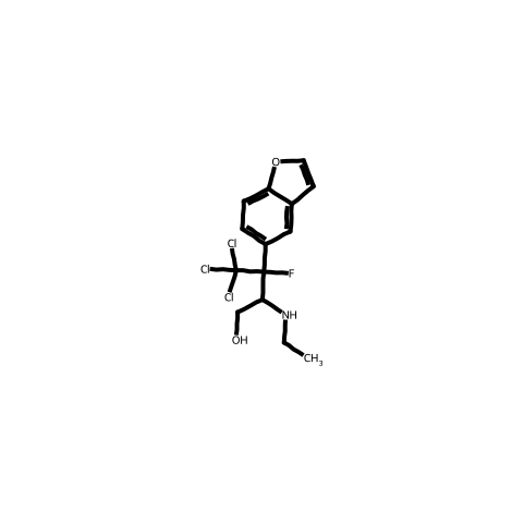 CCNC(CO)C(F)(c1ccc2occc2c1)C(Cl)(Cl)Cl